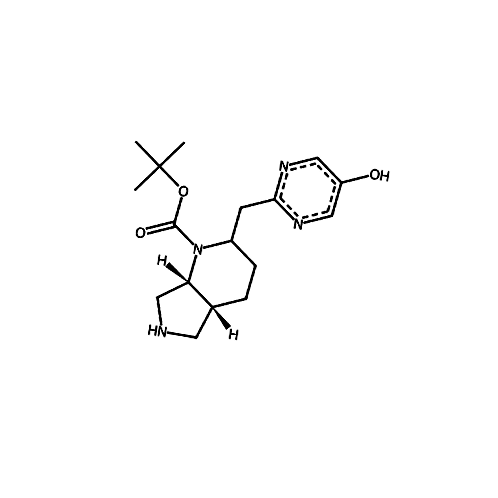 CC(C)(C)OC(=O)N1C(Cc2ncc(O)cn2)CC[C@@H]2CNC[C@@H]21